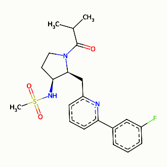 CC(C)C(=O)N1CC[C@H](NS(C)(=O)=O)[C@@H]1Cc1cccc(-c2cccc(F)c2)n1